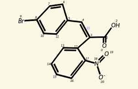 O=C(O)/C(=C/c1ccc(Br)cc1)c1ccccc1[N+](=O)[O-]